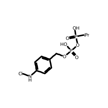 CC(C)P(=O)(O)OP(=O)(O)OCc1ccc(NCl)cc1